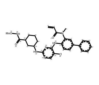 C=CC(=O)N(C)c1cc(-c2ccccc2)ccc1Nc1nc(NC2CCCC(C(=O)NOC)C2)ncc1Cl